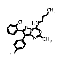 CCCCNc1nc(C)nc2c(-c3ccc(Cl)cc3)c(-c3ccccc3Cl)nn12